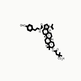 C=C(C)[C@@H]1CC[C@]2(C(=O)NCCc3ccc(C=O)cc3)CC[C@]3(C)[C@H](CC[C@@H]4[C@@]5(C)CC[C@H](OC(=O)CC(C)(C)C(=O)O)C(C)(C)[C@@H]5CC[C@]43C)[C@@H]12